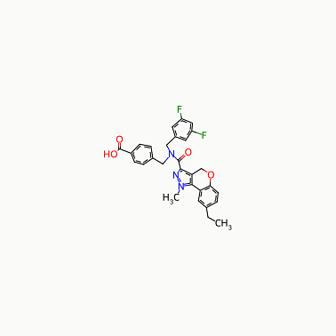 CCc1ccc2c(c1)-c1c(c(C(=O)N(Cc3ccc(C(=O)O)cc3)Cc3cc(F)cc(F)c3)nn1C)CO2